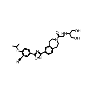 CC(C)Oc1ccc(-c2nc(-c3ccc4c(c3)CCN(C(=O)CNC(CO)CO)CC4)no2)cc1C#N